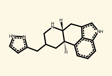 c1cc2c3c(c[nH]c3c1)C[C@H]1NCC(Cc3cc[nH]n3)C[C@H]21